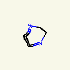 C1=C=NCCN=1